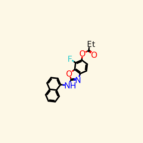 CCC(=O)Oc1ccc2nc(Nc3cccc4ccccc34)oc2c1F